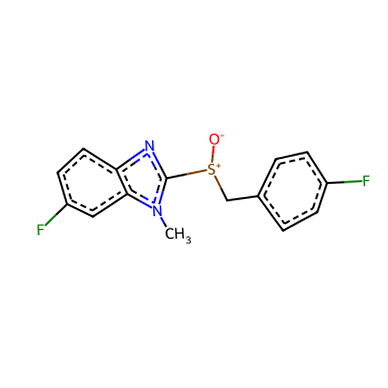 Cn1c([S+]([O-])Cc2ccc(F)cc2)nc2ccc(F)cc21